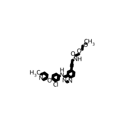 COCCOCC(=O)NCC#Cc1ccc2ncnc(Nc3ccc(Oc4ccc(C)nc4)c(Cl)c3)c2c1